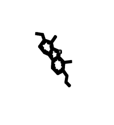 CCCc1ccc2c(oc3c(C)c(CC)ccc32)c1C